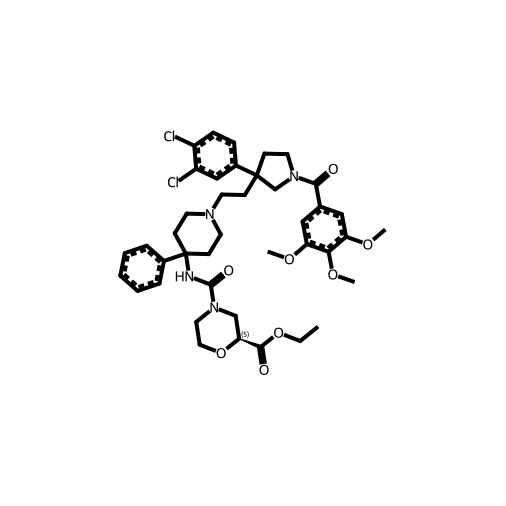 CCOC(=O)[C@@H]1CN(C(=O)NC2(c3ccccc3)CCN(CCC3(c4ccc(Cl)c(Cl)c4)CCN(C(=O)c4cc(OC)c(OC)c(OC)c4)C3)CC2)CCO1